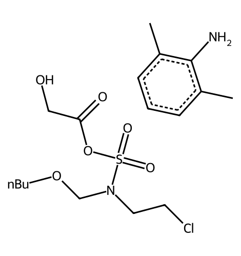 CCCCOCN(CCCl)S(=O)(=O)OC(=O)CO.Cc1cccc(C)c1N